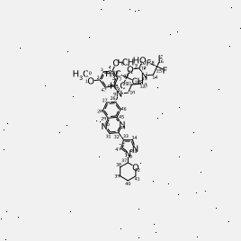 COc1cc(OC)cc(N(CCCN(CC(F)(F)F)C(O)OC(C)(C)C)c2ccc3ncc(-c4cnn(C5CCCCO5)c4)nc3c2)c1